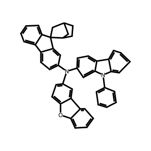 c1ccc(-n2c3ccccc3c3ccc(N(c4ccc5c(c4)C4(CC6CCC4C6)c4ccccc4-5)c4ccc5oc6ccccc6c5c4)cc32)cc1